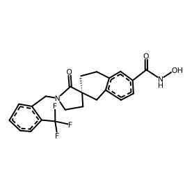 O=C(NO)c1ccc2c(c1)CC[C@@]1(CCN(Cc3ccccc3C(F)(F)F)C1=O)C2